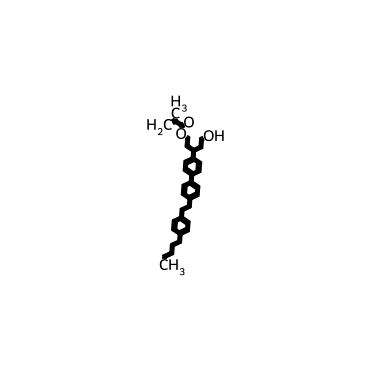 C=C(C)C(=O)OCCC(CCO)c1ccc(-c2ccc(CCc3ccc(CCCCC)cc3)cc2)cc1